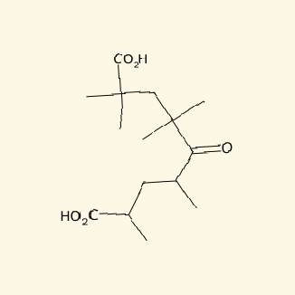 CC(CC(C)C(=O)C(C)(C)CC(C)(C)C(=O)O)C(=O)O